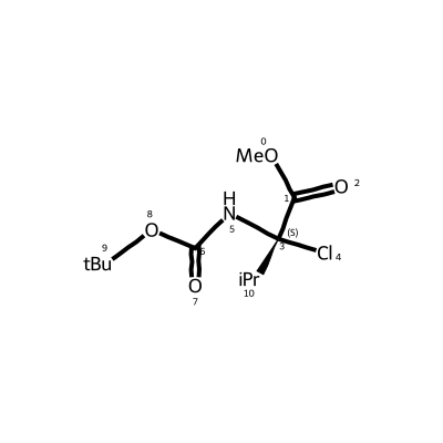 COC(=O)[C@](Cl)(NC(=O)OC(C)(C)C)C(C)C